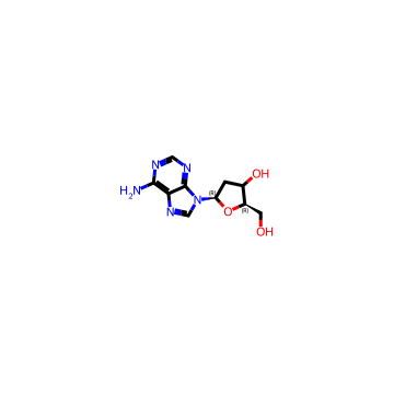 Nc1ncnc2c1ncn2[C@H]1CC(O)[C@@H](CO)O1